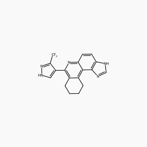 FC(F)(F)c1n[nH]cc1-c1nc2ccc3[nH]cnc3c2c2c1CCCC2